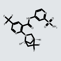 NS(=O)(=O)c1cc(NC(=O)c2cc(C(F)(F)F)cnc2N2C[C@@H]3C[C@H]2CC3(F)F)ccn1